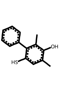 Cc1cc(S)c(-c2ccccc2)c(C)c1O